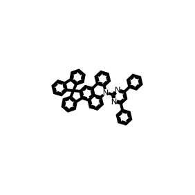 c1ccc(-c2cc(-c3ccccc3)nc(N3c4ccccc4-c4cc5c(c6cccc3c46)-c3ccccc3C53c4ccccc4-c4ccccc43)n2)cc1